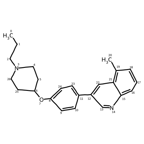 CCCN1CCC(Oc2ccc(-c3cnc4cccc(C)c4c3)cc2)CC1